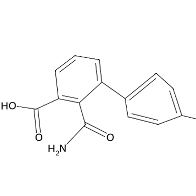 Cc1ccc(-c2cccc(C(=O)O)c2C(N)=O)cc1